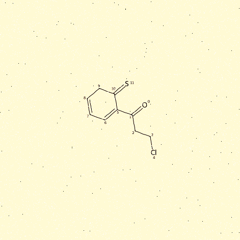 O=C(CCCl)C1=CC=CCC1=S